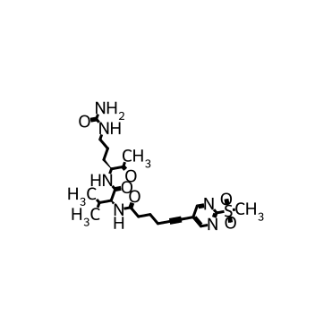 CC(=O)[C@H](CCCNC(N)=O)NC(=O)[C@@H](NC(=O)CCCC#Cc1cnc(S(C)(=O)=O)nc1)C(C)C